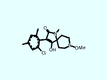 CON1CCC2(CC1)C(O)=C(c1c(C)cc(C)cc1Cl)C(=O)N2C